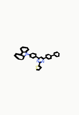 c1ccc(-c2ccc(-c3cc(-c4ccc(-n5c6ccccc6c6ccccc65)cc4)nc(-c4cccs4)n3)cc2)cc1